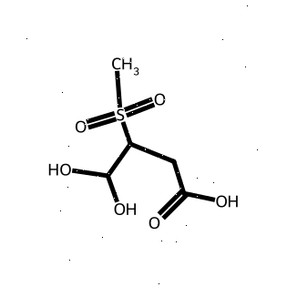 CS(=O)(=O)C(CC(=O)O)C(O)O